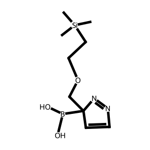 C[Si](C)(C)CCOCC1(B(O)O)C=CN=N1